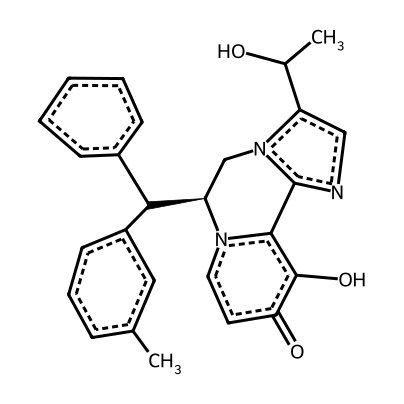 Cc1cccc(C(c2ccccc2)[C@H]2Cn3c(C(C)O)cnc3-c3c(O)c(=O)ccn32)c1